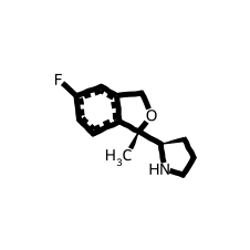 C[C@]1([C@H]2CCCN2)OCc2cc(F)ccc21